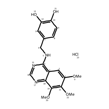 COc1cc2c(NCc3ccc(O)c(O)c3)ncnc2c(OC)c1OC.Cl